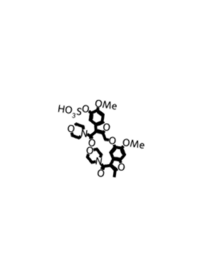 COc1cc2oc(C)c(C(=O)N3CCOCC3)c2cc1OCc1oc2cc(OC)c(OS(=O)(=O)O)cc2c1C(=O)N1CCOCC1